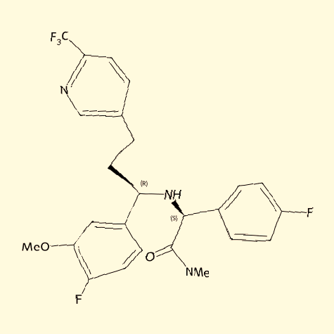 CNC(=O)[C@@H](N[C@H](CCc1ccc(C(F)(F)F)nc1)c1ccc(F)c(OC)c1)c1ccc(F)cc1